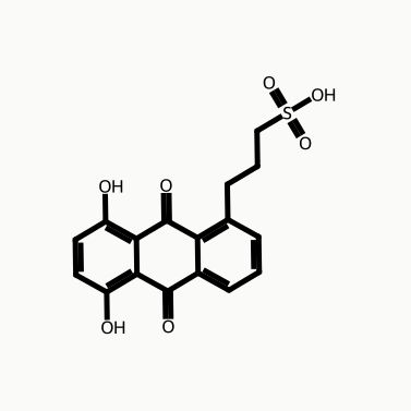 O=C1c2cccc(CCCS(=O)(=O)O)c2C(=O)c2c(O)ccc(O)c21